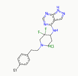 CCc1ccc(CCN2CCC(Nc3ncnc4[nH]ncc34)C(F)(F)C2)cc1.Cl